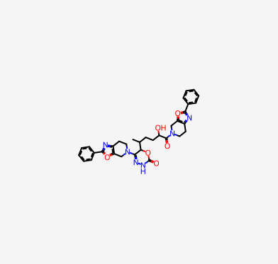 CC(CCC(O)C(=O)N1CCc2nc(-c3ccccc3)oc2C1)C1OC(=O)NN=C1N1CCc2nc(-c3ccccc3)oc2C1